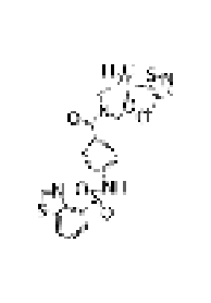 CC1(c2sncc2Cl)CCN(C(=O)c2ccc(NS(=O)(=O)c3cccc4scnc34)cc2)CO1